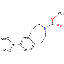 COB(OC)c1ccc2c(c1)CCN(C(=O)OC(C)(C)C)CC2